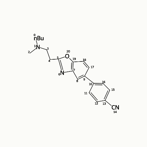 CCCCN(C)CCc1nc2cc(-c3ccc(C#N)cc3)ccc2o1